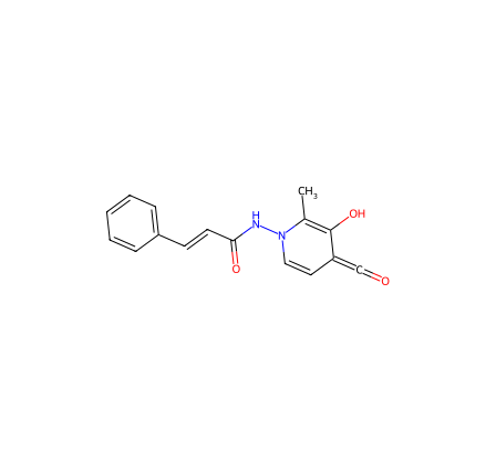 CC1=C(O)C(=C=O)C=CN1NC(=O)C=Cc1ccccc1